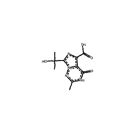 Cc1nn2c(C(C)(C)O)nc(C(=O)O)c2c(=O)[nH]1